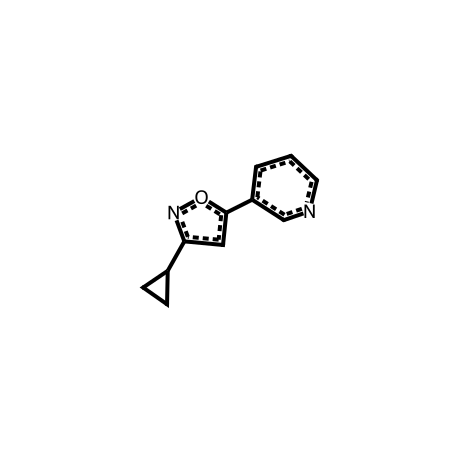 c1cncc(-c2cc(C3CC3)no2)c1